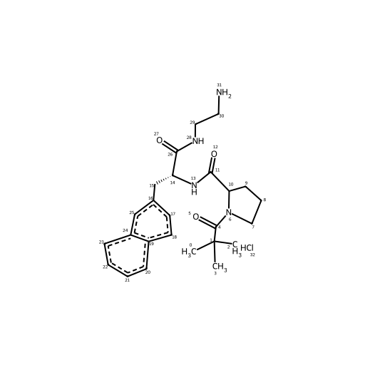 CC(C)(C)C(=O)N1CCCC1C(=O)N[C@H](Cc1ccc2ccccc2c1)C(=O)NCCN.Cl